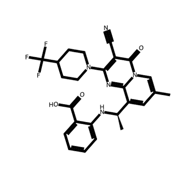 Cc1cc([C@@H](C)Nc2ccccc2C(=O)O)c2nc(N3CCC(C(F)(F)F)CC3)c(C#N)c(=O)n2c1